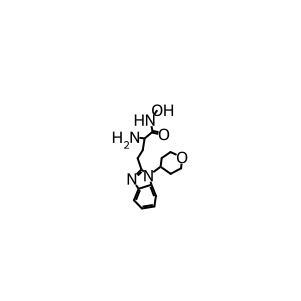 NC(CCc1nc2ccccc2n1C1CCOCC1)C(=O)NO